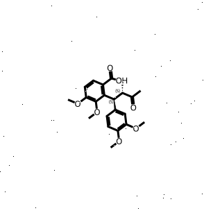 COc1ccc([C@@H](c2c(C(=O)O)ccc(OC)c2OC)[C@H](C)C(C)=O)cc1OC